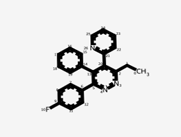 CCc1nnc(-c2ccc(F)cc2)c(-c2ccccc2)c1-c1ccccn1